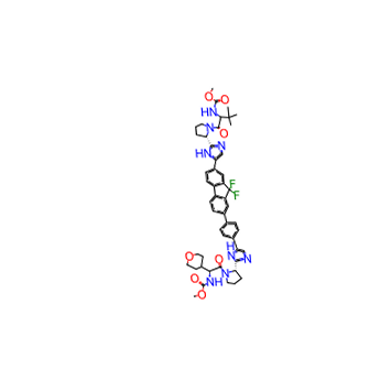 COC(=O)NC(C(=O)N1CCC[C@H]1c1ncc(-c2ccc3c(c2)C(F)(F)c2cc(-c4ccc(-c5cnc([C@@H]6CCCN6C(=O)[C@@H](NC(=O)OC)C6CCOCC6)[nH]5)cc4)ccc2-3)[nH]1)C(C)(C)C